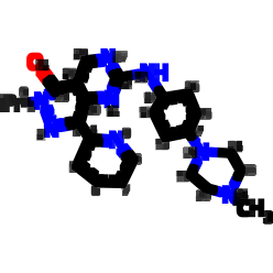 CC(C)n1nc(-c2ccccn2)c2nc(Nc3ccc(N4CCN(C)CC4)cc3)ncc2c1=O